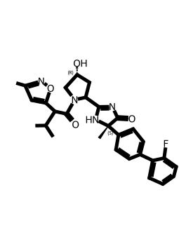 Cc1cc(C(C(=O)N2C[C@H](O)CC2C2=NC(=O)[C@](C)(c3ccc(-c4ccccc4F)cc3)N2)C(C)C)on1